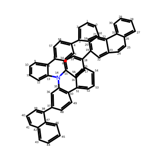 c1ccc(-c2ccc(-c3ccccc3N(c3ccc(-c4ccc5c(ccc6ccccc65)c4)cc3)c3cc(-c4cccc5ccccc45)ccc3-c3ccccc3)cc2)cc1